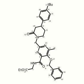 CCOC(=O)CNC(=O)c1nc(CN2CCC(c3ccc(C(C)(C)C)cc3)CC2=O)nc(C)c1OCc1ccccc1